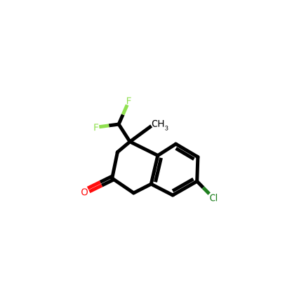 CC1(C(F)F)CC(=O)Cc2cc(Cl)ccc21